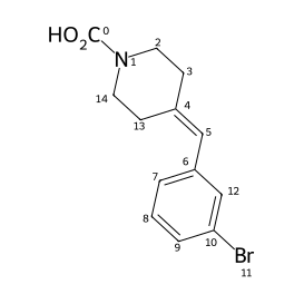 O=C(O)N1CCC(=Cc2cccc(Br)c2)CC1